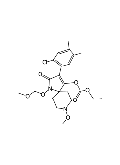 CCOC(=O)OC1=C(c2cc(C)c(C)cc2Cl)C(=O)N(OCOC)C12CCN(OC)CC2